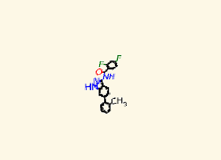 Cc1ccccc1-c1ccc2c(NC(=O)c3ccc(F)cc3F)n[nH]c2c1